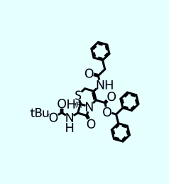 CC(C)(C)OC(=O)NC1C(=O)N2C(C(=O)OC(c3ccccc3)c3ccccc3)=C(NC(=O)Cc3ccccc3)CS[C@H]12